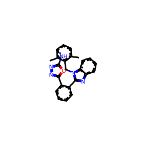 CNc1nnc(-c2ccccc2-c2nc3ccccc3n2Cc2c(C)cccc2C)o1